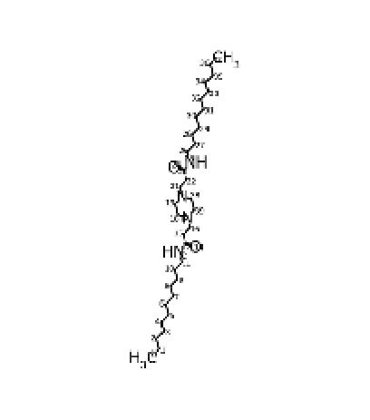 CCCCCCCCCCCCNC(=O)CCN1CCN(CCC(=O)NCCCCCCCCCCCC)CC1